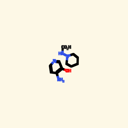 Nc1ccncc1O.O=C(O)NN1CCCCC1